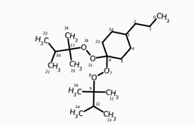 CCCC1CCC(OOC(C)(C)C(C)C)(OOC(C)(C)C(C)C)CC1